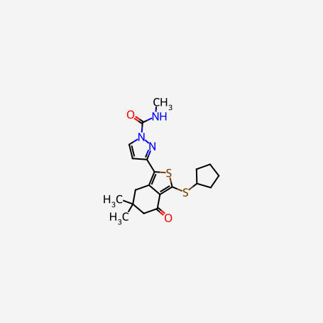 CNC(=O)n1ccc(-c2sc(SC3CCCC3)c3c2CC(C)(C)CC3=O)n1